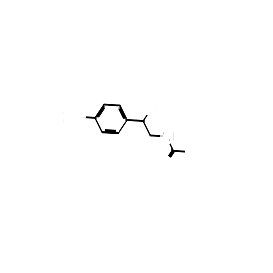 CC(C)(C)C(=O)NCC(O)c1ccc(O)cc1